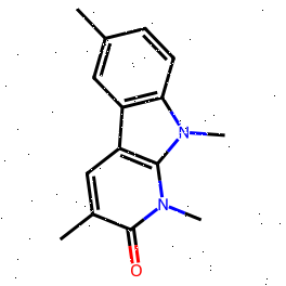 Cc1ccc2c(c1)c1cc(C)c(=O)n(C)c1n2C